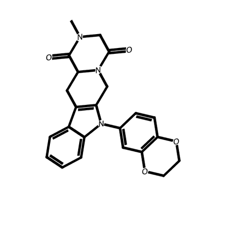 CN1CC(=O)N2Cc3c(c4ccccc4n3-c3ccc4c(c3)OCCO4)CC2C1=O